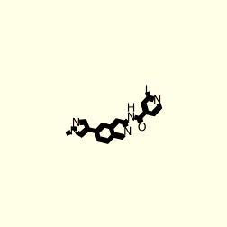 Cn1cc(-c2ccc3cnc(NC(=O)c4ccnc(I)c4)cc3c2)cn1